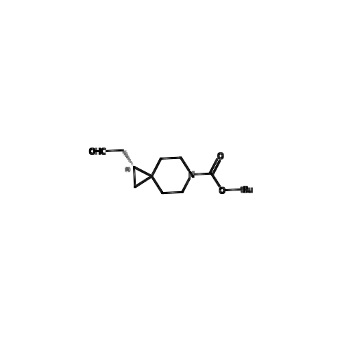 CC(C)(C)OC(=O)N1CCC2(CC1)C[C@@H]2CC=O